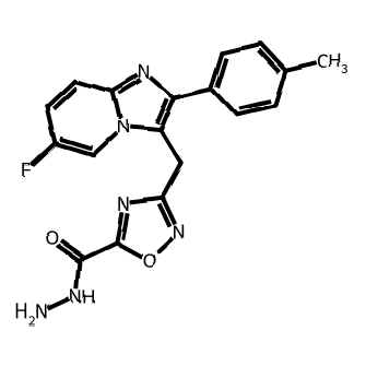 Cc1ccc(-c2nc3ccc(F)cn3c2Cc2noc(C(=O)NN)n2)cc1